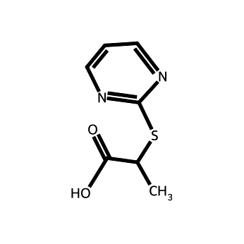 CC(Sc1ncccn1)C(=O)O